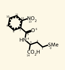 CSCCC(NC(=O)c1ccccc1[N+](=O)[O-])C(=O)O